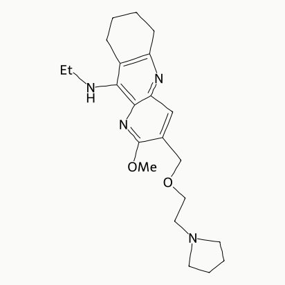 CCNc1c2c(nc3cc(COCCN4CCCC4)c(OC)nc13)CCCC2